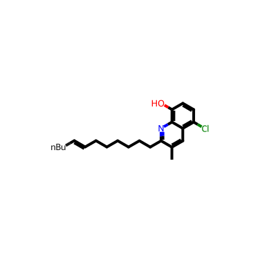 CCCCC=CCCCCCCc1nc2c(O)ccc(Cl)c2cc1C